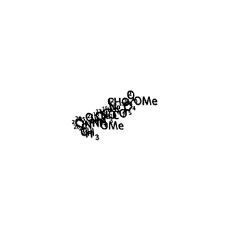 COC(=O)c1ccc(OC(C)CN(C=O)C(=O)Cc2ccc(NC(=O)Nc3ccccc3C)c(OC)c2)cc1